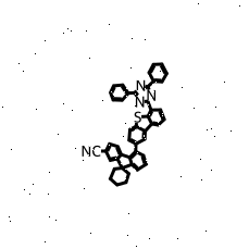 N#Cc1ccc2c(c1)C1(CCCCC1)c1cccc(-c3ccc4sc5c(-c6nc(-c7ccccc7)nc(-c7ccccc7)n6)cccc5c4c3)c1-2